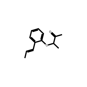 CC=Cc1ccccc1OC(C)C(C)=O